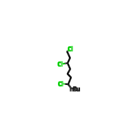 CCCCC(Cl)CCCC(Cl)CCCl